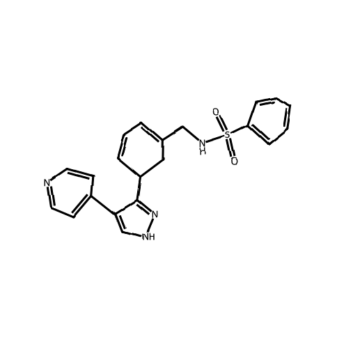 O=S(=O)(NCC1=CC=CC(c2n[nH]cc2-c2ccncc2)C1)c1ccccc1